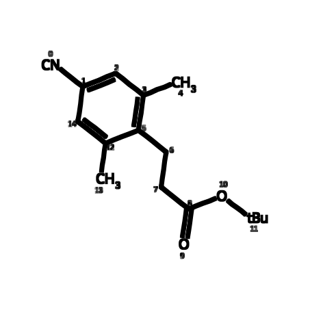 [C-]#[N+]c1cc(C)c(CCC(=O)OC(C)(C)C)c(C)c1